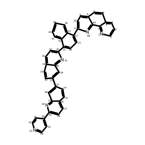 c1cnc2c(c1)ccc1ccc(-c3ccc(-c4ccc5ccc(-c6ccc7ccc(-c8ccncc8)nc7c6)cc5n4)c4ccccc34)nc12